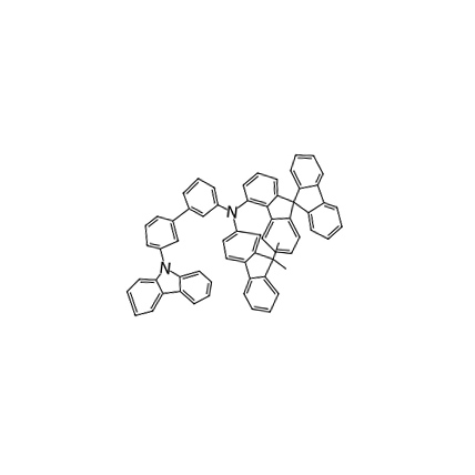 CC1(C)c2ccccc2-c2ccc(N(c3cccc(-c4cccc(-n5c6ccccc6c6ccccc65)c4)c3)c3cccc4c3-c3ccccc3C43c4ccccc4-c4ccccc43)cc21